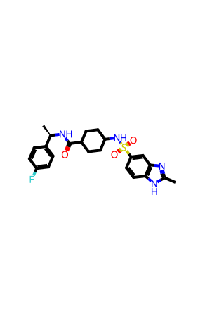 Cc1nc2cc(S(=O)(=O)NC3CCC(C(=O)N[C@H](C)c4ccc(F)cc4)CC3)ccc2[nH]1